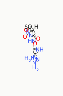 N/C=N\N(N)[C@@H]1CN[C@@H](CONC(=O)[C@@H]2CC[C@H]3CN2C(=O)N3OS(=O)(=O)O)C1